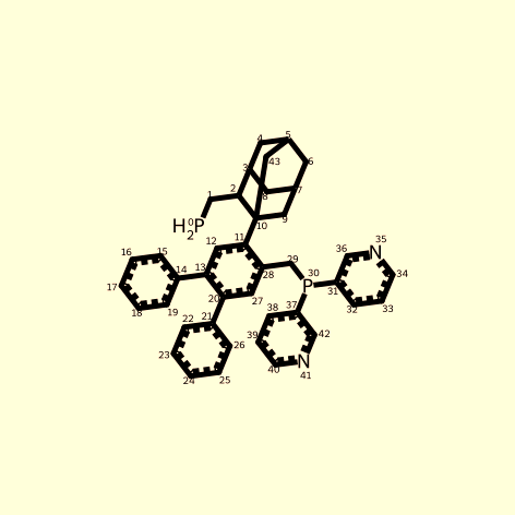 PCC1C2CC3CC(C2)CC1(c1cc(-c2ccccc2)c(-c2ccccc2)cc1CP(c1cccnc1)c1cccnc1)C3